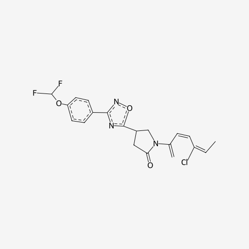 C=C(/C=C\C(Cl)=C/C)N1CC(c2nc(-c3ccc(OC(F)F)cc3)no2)CC1=O